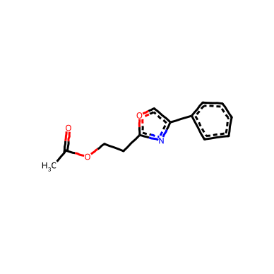 CC(=O)OCCc1nc(-c2ccccc2)co1